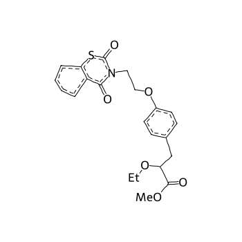 CCOC(Cc1ccc(OCCn2c(=O)sc3ccccc3c2=O)cc1)C(=O)OC